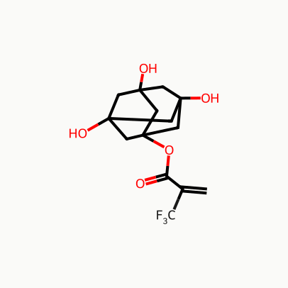 C=C(C(=O)OC12CC3(O)CC(O)(CC(O)(C3)C1)C2)C(F)(F)F